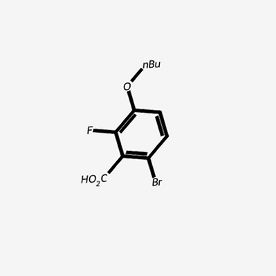 CCCCOc1ccc(Br)c(C(=O)O)c1F